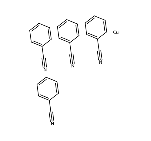 N#Cc1ccccc1.N#Cc1ccccc1.N#Cc1ccccc1.N#Cc1ccccc1.[Cu]